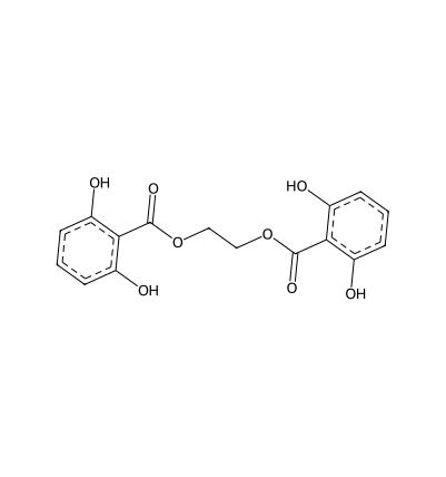 O=C(OCCOC(=O)c1c(O)cccc1O)c1c(O)cccc1O